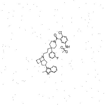 Cc1nc2ccccc2n1C1CC2N(CCCC3(c4cccc(F)c4)CCN(C(=O)c4cc(NS(C)(=O)=O)ccc4Cl)CC3)C3CCC32C1